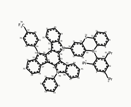 CC(C)c1cc(C(C)C)c(B2c3ccccc3Sc3cc(-n4c5ccccc5c5c6c(c7ccccc7n6-c6ccc(C(F)(F)F)cc6)c6c(c7ccccc7n6-c6ccccc6)c54)ccc32)c(C(C)C)c1